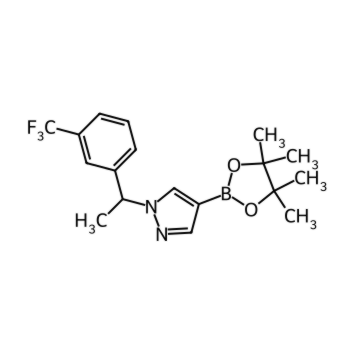 CC(c1cccc(C(F)(F)F)c1)n1cc(B2OC(C)(C)C(C)(C)O2)cn1